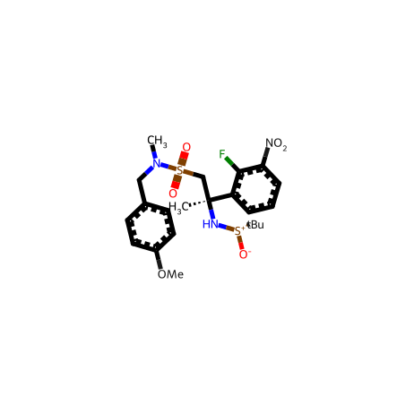 COc1ccc(CN(C)S(=O)(=O)C[C@](C)(N[S@+]([O-])C(C)(C)C)c2cccc([N+](=O)[O-])c2F)cc1